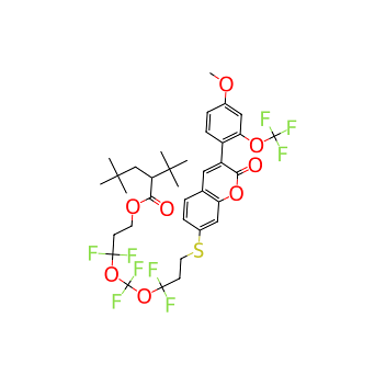 COc1ccc(-c2cc3ccc(SCCC(F)(F)OC(F)(F)OC(F)(F)CCOC(=O)C(CC(C)(C)C)C(C)(C)C)cc3oc2=O)c(OC(F)(F)F)c1